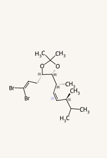 CC(C)[C@H](C)/C=C\[C@@H](C)[C@H]1OC(C)(C)O[C@H]1CC=C(Br)Br